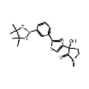 CN1CCC(O)(c2csc(-c3cccc(B4OC(C)(C)C(C)(C)O4)c3)n2)C1=O